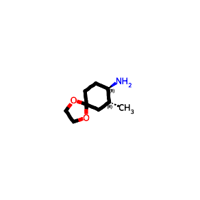 C[C@@H]1CC2(CC[C@H]1N)OCCO2